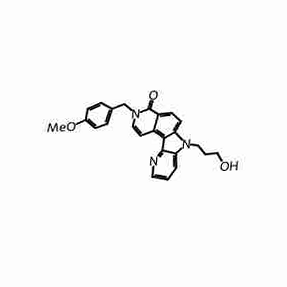 COc1ccc(Cn2ccc3c(ccc4c3c3ncccc3n4CCCO)c2=O)cc1